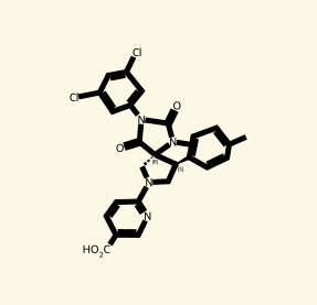 Cc1ccc([C@H]2CN(c3ccc(C(=O)O)cn3)C[C@@]23C(=O)N(c2cc(Cl)cc(Cl)c2)C(=O)N3C)cc1